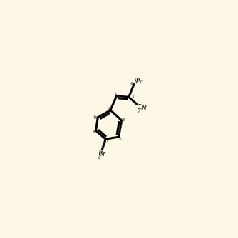 CC(C)C(C#N)=Cc1ccc(Br)cc1